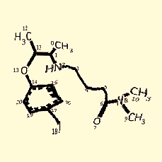 CC(NCCCC(=O)N(C)C)C(C)Oc1ccc(I)cc1